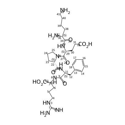 N=C(N)NCCC[C@H](NC(=O)[C@H](Cc1ccccc1)NC(=O)[C@@H]1CCCN1C(=O)[C@H](CCC(=O)O)NC(=O)[C@@H](N)CCCCN)C(=O)O